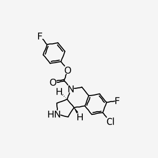 O=C(Oc1ccc(F)cc1)N1Cc2cc(F)c(Cl)cc2[C@@H]2CNC[C@H]21